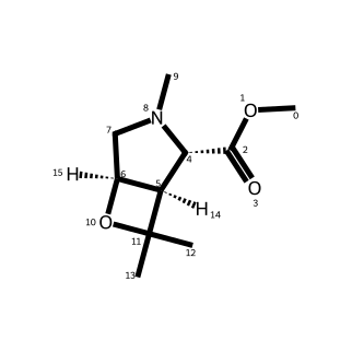 COC(=O)[C@@H]1[C@@H]2[C@H](CN1C)OC2(C)C